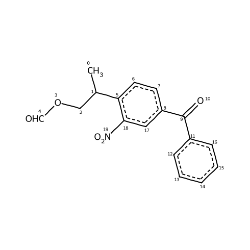 CC(COC=O)c1ccc(C(=O)c2ccccc2)cc1[N+](=O)[O-]